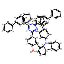 c1ccc(-c2ccc(-c3nc(-c4cccc(-c5ccccc5)c4)nc(-c4ccc5oc6ccc7c8ccccc8n(-c8ccc(-c9cccc(-c%10ccccc%10)c9)cc8)c7c6c5c4)n3)cc2)cc1